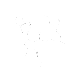 CCCCN(C=O)CCCC.CCOC(=O)C1C(c2ccc3c(c2)OCO3)CN(C)C1C=CCO